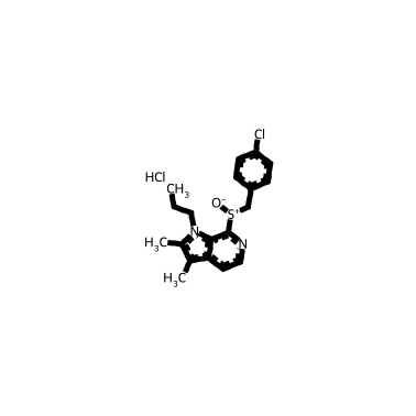 CCCn1c(C)c(C)c2ccnc([S+]([O-])Cc3ccc(Cl)cc3)c21.Cl